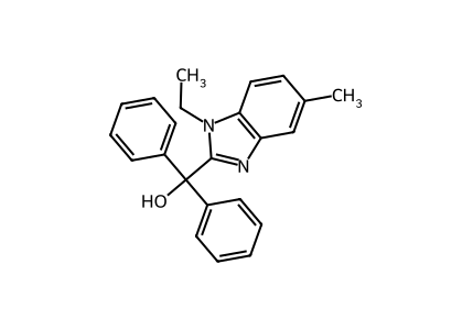 CCn1c(C(O)(c2ccccc2)c2ccccc2)nc2cc(C)ccc21